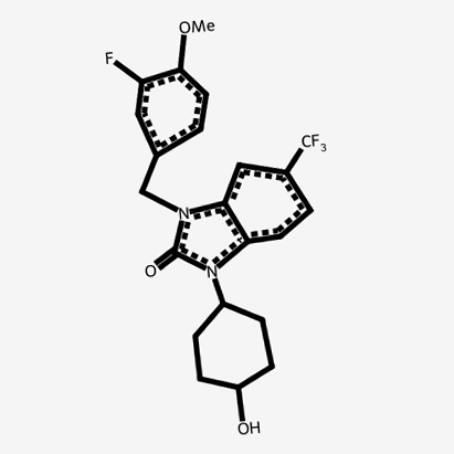 COc1ccc(Cn2c(=O)n(C3CCC(O)CC3)c3ccc(C(F)(F)F)cc32)cc1F